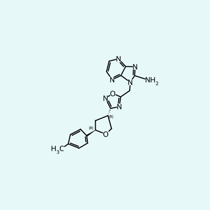 Cc1ccc([C@H]2C[C@H](c3noc(Cn4c(N)nc5nccnc54)n3)CO2)cc1